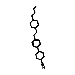 CCCCC1CCC(CCc2ccc(C3CCC(C#N)CC3)cc2)CC1